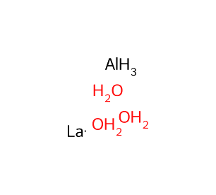 O.O.O.[AlH3].[La]